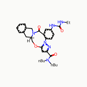 CCCCN(CCCC)C(=O)c1cc2n(n1)-c1ccc(NC(=O)NCC)cc1C(=O)N1Cc3ccccc3C[C@H]1CO2